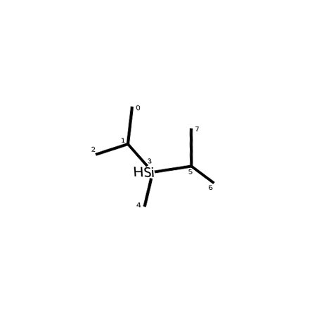 CC(C)[SiH](C)C(C)C